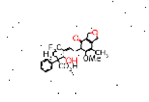 COC1=C(C)C2=C(COC2)C(=O)C1C/C=C(\C(O)C(C)(C(=O)O)c1ccccc1)C(F)(F)F